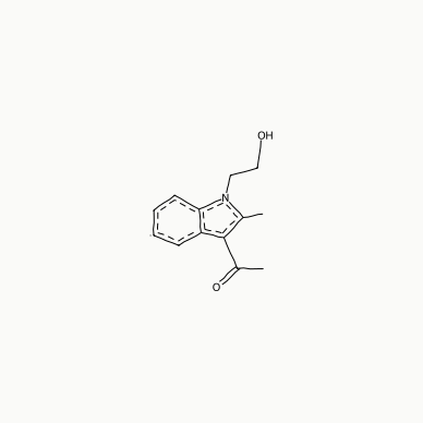 CC(=O)c1c(C)n(CCO)c2cc[c]cc12